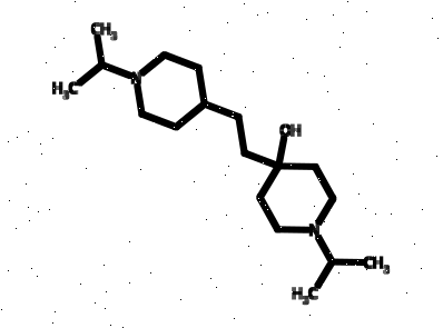 CC(C)N1CCC(CCC2(O)CCN(C(C)C)CC2)CC1